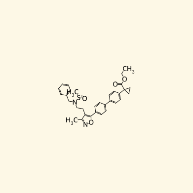 CCOC(=O)C1(c2ccc(-c3ccc(-c4onc(C)c4CCN(Cc4ccccc4)[S+](C)[O-])cc3)cc2)CC1